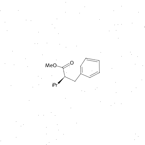 COC(=O)[C@@H](Cc1ccccc1)C(C)C